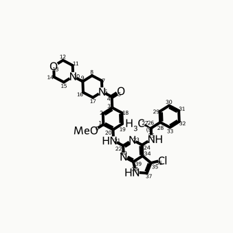 COc1cc(C(=O)N2CCC(N3CCOCC3)CC2)ccc1Nc1nc(N[C@@H](C)c2ccccc2)c2c(Cl)c[nH]c2n1